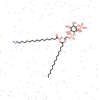 CCCCCCCCCCCCCCCC(=O)O[C@H](COC(=O)CCCCCCCCCCCCCCCN)COP(=O)(O)OC1C(O)[C@@H](O)C(O)[C@@H](OP(=O)(O)O)[C@H]1O